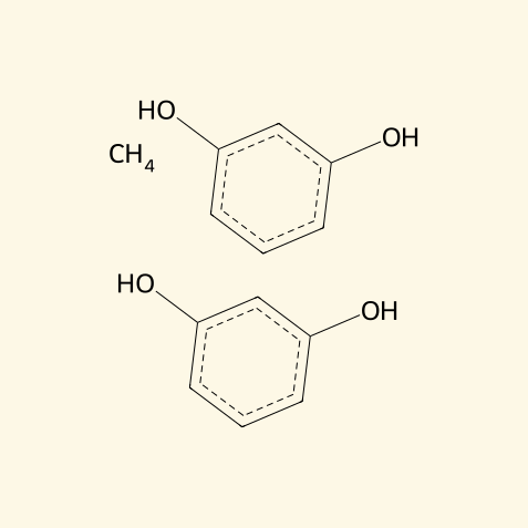 C.Oc1cccc(O)c1.Oc1cccc(O)c1